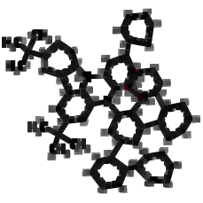 CC(C)(C)c1ccc2c(c1)c1cc(C(C)(C)C)cc3c1n2-c1cc(-c2ccccc2)cc2c1B3c1cc(-c3ccccc3-c3ccccc3)cc(-c3ccccc3-c3ccccc3)c1O2